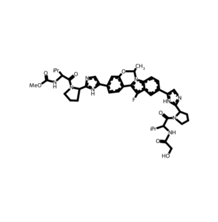 COC(=O)NC(C(=O)N1CCCC1c1ncc(-c2ccc3c(c2)OC(C)n2c-3c(F)c3cc(-c4cnc(C5CCCN5C(=O)C(NC(=O)CO)C(C)C)[nH]4)ccc32)[nH]1)C(C)C